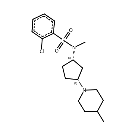 CC1CCN([C@@H]2CC[C@H](N(C)S(=O)(=O)c3ccccc3Cl)C2)CC1